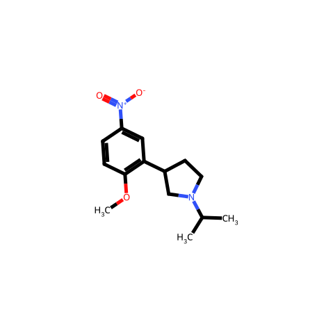 COc1ccc([N+](=O)[O-])cc1C1CCN(C(C)C)C1